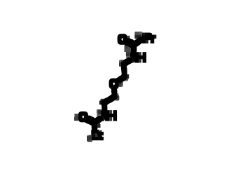 CCC(=O)NCCOCCNC(=O)C(C)C